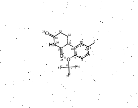 Cc1ccc(OC(F)(F)F)c(C2CCC(=O)NC2=O)c1